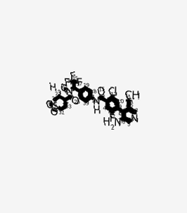 C#Cc1cncc(N)c1-c1cc(Cl)c(C(=O)Nc2ccc(C(N(C)C(=O)C3CCS(=O)(=O)CC3)C(F)(F)F)cc2)cc1F